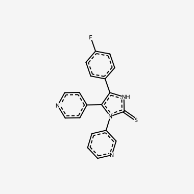 Fc1ccc(-c2[nH]c(=S)n(-c3cccnc3)c2-c2ccncc2)cc1